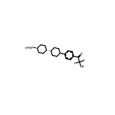 CCCCCCC[C@H]1CC[C@H](C2CCC(c3ccc(C(=O)C(F)(F)CCC)cc3)CC2)CC1